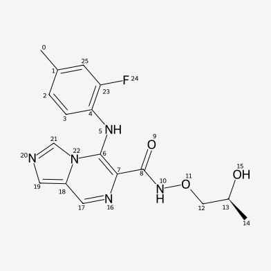 Cc1ccc(Nc2c(C(=O)NOC[C@H](C)O)ncc3cncn23)c(F)c1